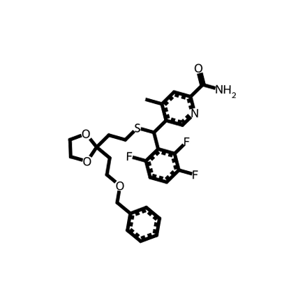 Cc1cc(C(N)=O)ncc1C(SCCC1(CCOCc2ccccc2)OCCO1)c1c(F)ccc(F)c1F